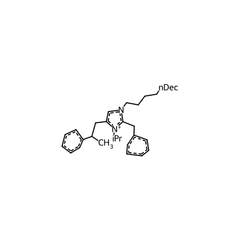 CCCCCCCCCCCCCCn1cc(CC(C)c2ccccc2)[n+](C(C)C)c1Cc1ccccc1